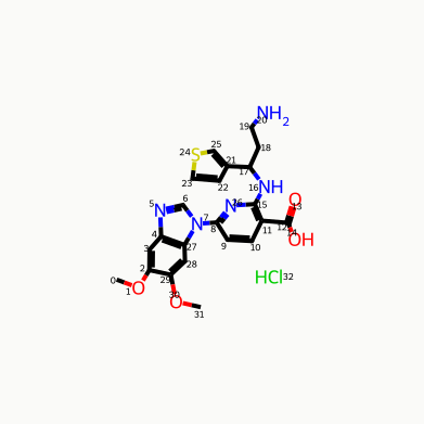 COc1cc2ncn(-c3ccc(C(=O)O)c(NC(CCN)c4ccsc4)n3)c2cc1OC.Cl